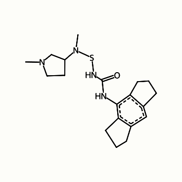 CN1CCC(N(C)SNC(=O)Nc2c3c(cc4c2CCC4)CCC3)C1